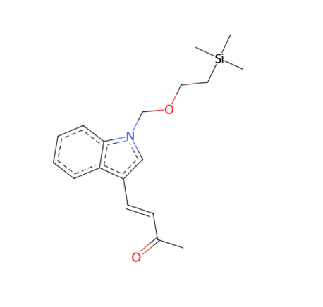 CC(=O)/C=C/c1cn(COCC[Si](C)(C)C)c2ccccc12